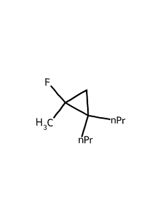 CCCC1(CCC)CC1(C)F